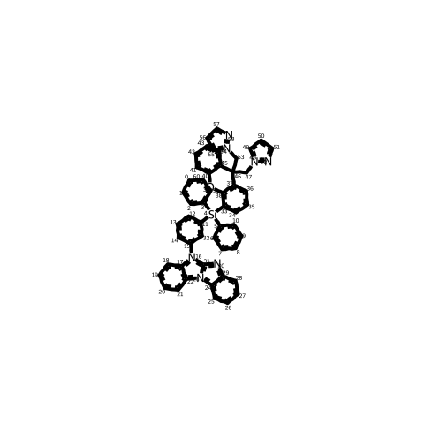 c1ccc([Si](c2ccccc2)(c2cccc(-n3c4ccccc4n4c5ccccc5nc34)c2)c2cccc3c2Oc2ccccc2C3(Cn2cccn2)Cn2cccn2)cc1